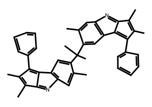 CC1=C(C)C(c2ccccc2)=C2C1=Nc1cc(C)c(C(C)(C)c3cc4c(cc3C)N=C3C(C)=C(C)C(c5ccccc5)=C34)cc12